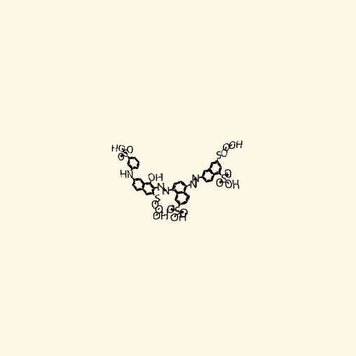 O=S(=O)(O)c1cccc(Nc2ccc3cc(SOOO)c(N=Nc4ccc(N=Nc5ccc6c(S(=O)(=O)O)cc(SOOO)cc6c5)c5ccc(S(=O)(=O)O)cc45)c(O)c3c2)c1